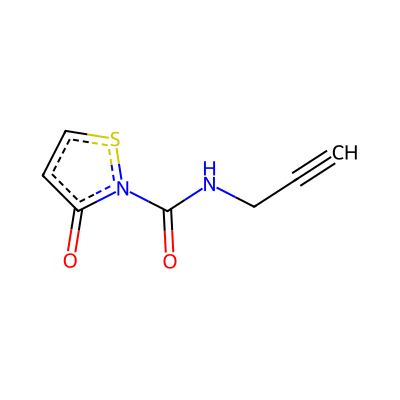 C#CCNC(=O)n1sccc1=O